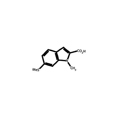 CSc1ccc2cc(C(=O)O)n(C)c2c1